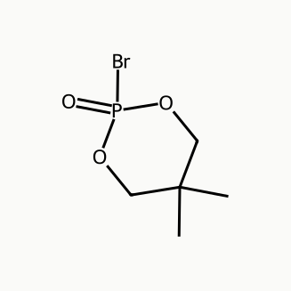 CC1(C)COP(=O)(Br)OC1